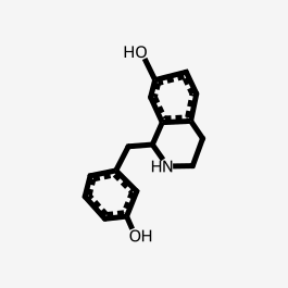 Oc1cccc(CC2NCCc3ccc(O)cc32)c1